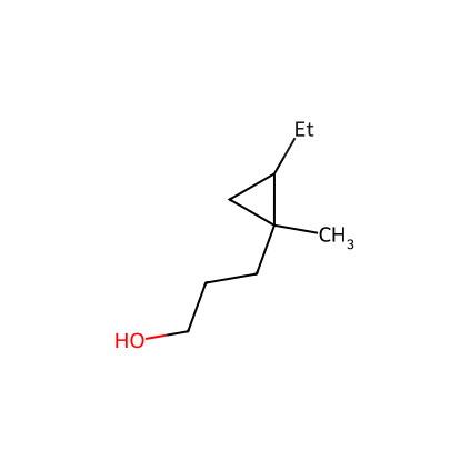 CCC1CC1(C)CCCO